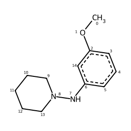 COc1cccc(NN2CCCCC2)c1